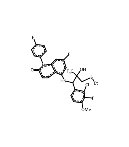 CCSCC(O)(C(Nc1cc(F)cc2c1ccc(=O)n2-c1ccc(F)cc1)c1ccc(OC)c(F)c1Cl)C(F)(F)F